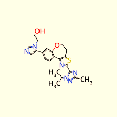 Cc1nc(-c2nc3c(s2)CCOc2cc(-c4cncn4CCO)ccc2-3)n(C(C)C)n1